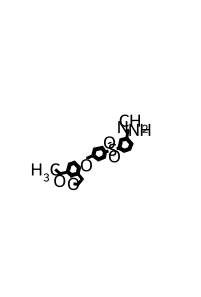 C=NC(=N)c1cccc(S(=O)(=O)c2ccc(COc3ccc(C(C)=O)c4c3CCO4)cc2)c1